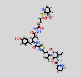 CCC(C)[C@H](NC(=O)[C@H]1CCCCN1)C(=O)N(CO)[C@H](CCC1NC(C(=O)N[C@@H](Cc2ccc(O)cc2)C[C@H](C)C(=O)NNC(=O)OCCSSC2=C([N+](=O)[O-])C=CCN2)CS1)C(C)C